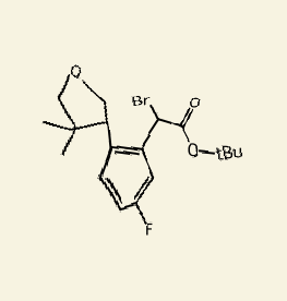 CC(C)(C)OC(=O)C(Br)c1cc(F)ccc1C1COCC1(C)C